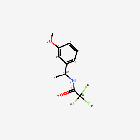 COc1cccc([C@H](C)NC(=O)C(F)(F)F)c1